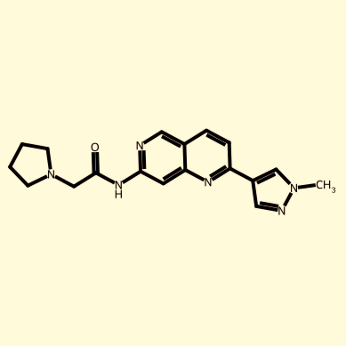 Cn1cc(-c2ccc3cnc(NC(=O)CN4CCCC4)cc3n2)cn1